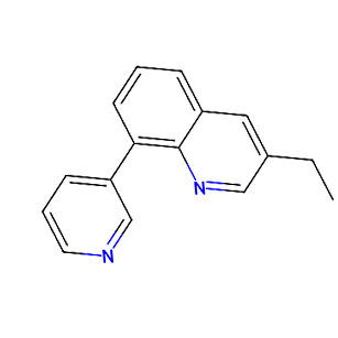 CCc1cnc2c(-c3cccnc3)cccc2c1